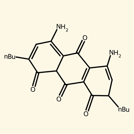 CCCCC1=CC(N)=C2C(=O)C3=C(C(=O)C(CCCC)C=C3N)C(=O)C2C1=O